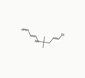 CCC=CCC(C)(C)NC=CCCCCCC